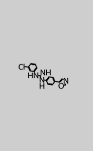 N=C(Nc1ccc(-c2cnco2)cc1)Nc1cccc(Cl)c1